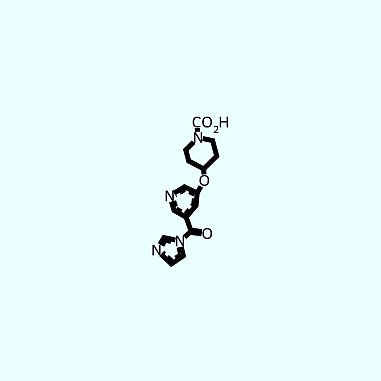 O=C(O)N1CCC(Oc2cncc(C(=O)n3ccnc3)c2)CC1